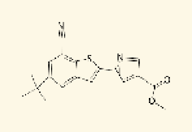 COC(=O)c1cnn(-c2cc3cc(C(C)(C)C)cc(C#N)c3s2)c1